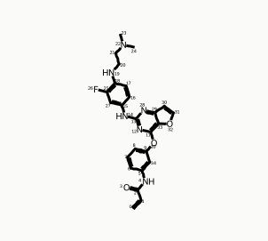 C=CC(=O)Nc1cccc(Oc2nc(Nc3ccc(NCCN(C)C)c(F)c3)nc3ccoc23)c1